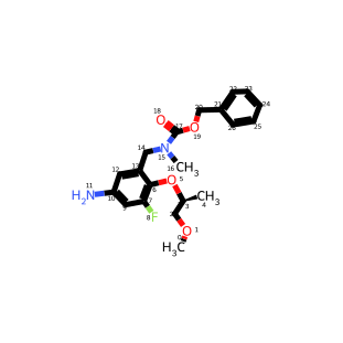 COC[C@H](C)Oc1c(F)cc(N)cc1CN(C)C(=O)OCc1ccccc1